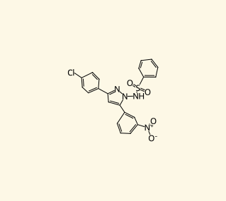 O=[N+]([O-])c1cccc(-c2cc(-c3ccc(Cl)cc3)nn2NS(=O)(=O)c2ccccc2)c1